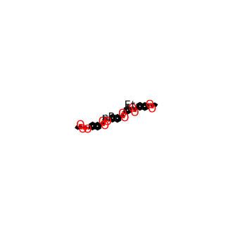 C=CC(=O)OCOc1ccc2cc(C(=O)OC(CCC)Oc3ccc4cc(C(=O)Oc5ccc(OC(=O)c6ccc7cc(OC(=O)C=C)ccc7c6)c(CC)c5)ccc4c3)ccc2c1